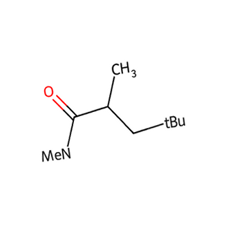 CNC(=O)C(C)CC(C)(C)C